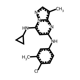 Cc1cc(Nc2cc(NC3CC3)n3ncc(C)c3n2)ccc1Cl